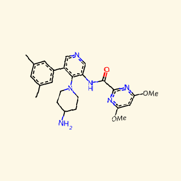 COc1cc(OC)nc(C(=O)Nc2cncc(-c3cc(C)cc(C)c3)c2N2CCC(N)CC2)n1